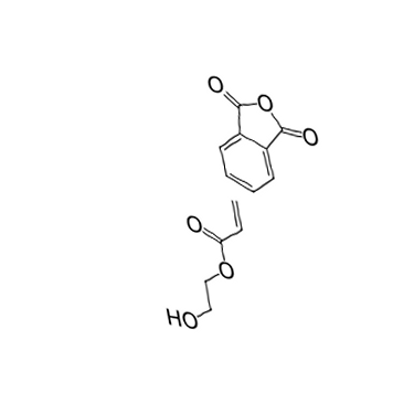 C=CC(=O)OCCO.O=C1OC(=O)c2ccccc21